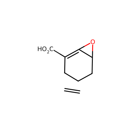 C=C.O=C(O)C1=C2OC2CCC1